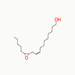 CCCCCC1OC1C/C=C\CCCCCCCCO